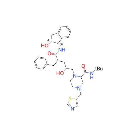 CC(C)(C)NC(=O)C1CN(Cc2cncs2)CCN1CC(O)CC(Cc1ccccc1)C(=O)N[C@H]1c2ccccc2C[C@H]1O